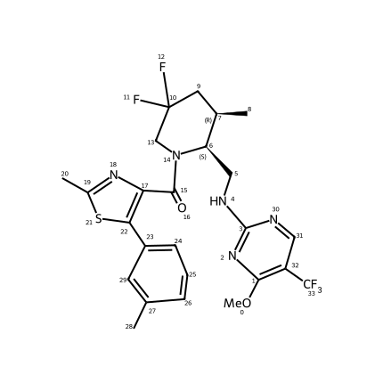 COc1nc(NC[C@@H]2[C@H](C)CC(F)(F)CN2C(=O)c2nc(C)sc2-c2cccc(C)c2)ncc1C(F)(F)F